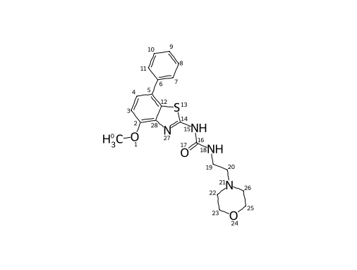 COc1ccc(-c2ccccc2)c2sc(NC(=O)NCCN3CCOCC3)nc12